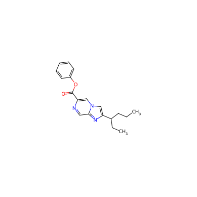 CCCC(CC)c1cn2cc(C(=O)Oc3ccccc3)ncc2n1